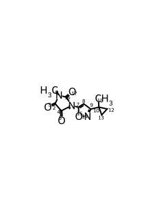 CN1C(=O)C(=O)N(c2cc(C3(C)CC3)no2)C1=O